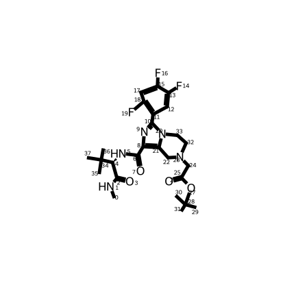 CNC(=O)[C@@H](NC(=O)c1nc(-c2cc(F)c(F)cc2F)n2c1CN(CC(=O)OC(C)(C)C)CC2)C(C)(C)C